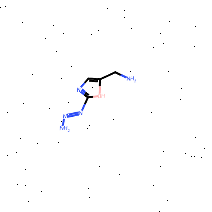 NCC1=CN=C(N=NN)B1